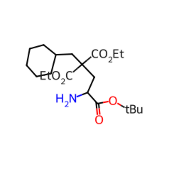 CCOC(=O)C(CC1CCCCC1)(CC(N)C(=O)OC(C)(C)C)C(=O)OCC